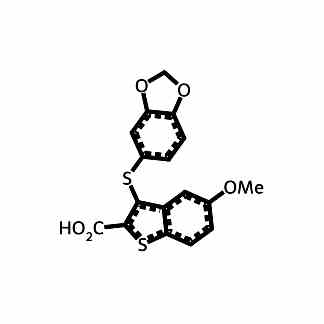 COc1ccc2sc(C(=O)O)c(Sc3ccc4c(c3)OCO4)c2c1